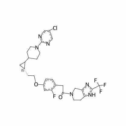 O=C(Cc1ccc(OCC[C@@H]2CC2C2CCN(c3ncc(Cl)cn3)CC2)cc1F)N1CCc2[nH]c(C(F)(F)F)nc2C1